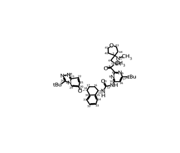 CN(C)C1(CNC(=O)c2nc(NC(=O)N[C@H]3CC[C@@H](Oc4ccc5nnc(C(C)(C)C)n5c4)c4ccccc43)cc(C(C)(C)C)n2)CCOCC1